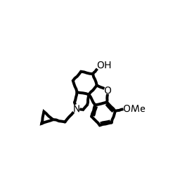 COc1cccc2c1OC1C(O)CCC3CN(CC4CC4)CCC231